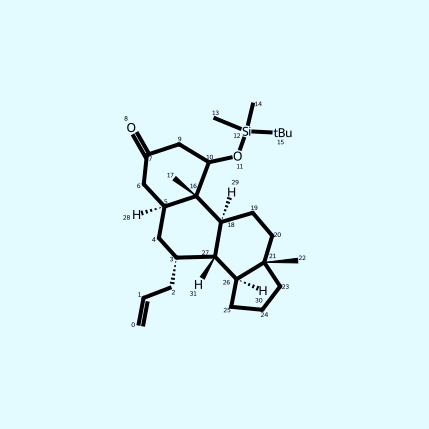 C=CC[C@@H]1C[C@H]2CC(=O)CC(O[Si](C)(C)C(C)(C)C)[C@]2(C)[C@H]2CC[C@]3(C)CCC[C@H]3[C@H]12